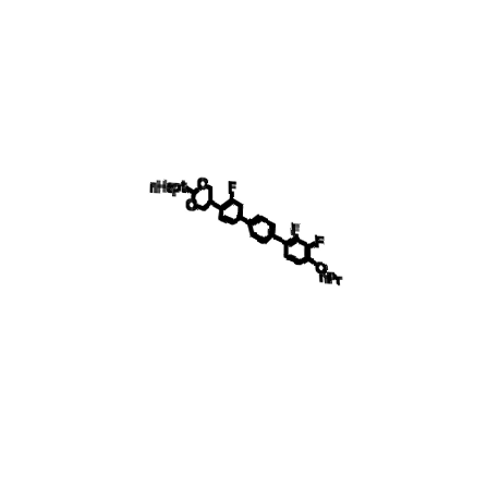 CCCCCCCC1OCC(c2ccc(-c3ccc(-c4ccc(OCCC)c(F)c4F)cc3)cc2F)CO1